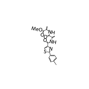 C=C(NC(=O)c1csc(-c2ccc(C)cc2)n1)C(=O)NC(=C)C(=O)OC